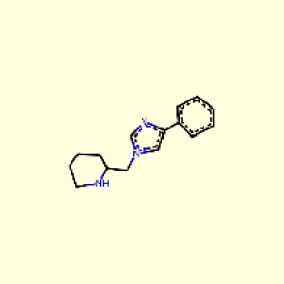 c1ccc(-c2cn(CC3CCCCN3)cn2)cc1